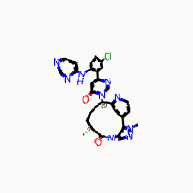 C[C@@H]1CCC[C@H](n2cnc(-c3cc(Cl)ccc3Nc3ccncn3)cc2=O)c2cc(ccn2)-c2c(cnn2C)NC1=O